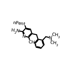 CCCCCc1cc(Cc2ccccc2CN(C)C)c(C)nc1N